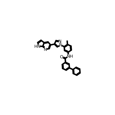 Cc1ccc(NC(=O)c2cccc(-c3ccccc3)c2)cc1-n1cc(-c2cnc3[nH]ccc3c2)cn1